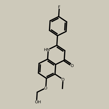 COc1c(OCO)ccc2[nH]c(-c3ccc(F)cc3)cc(=O)c12